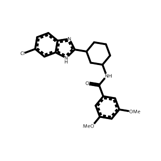 COc1cc(OC)cc(C(=O)NC2CCCC(c3nc4ccc(Cl)cc4[nH]3)C2)c1